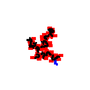 BOCC1OC(C)[C@@H](C)[C@@H](O)[C@@H]1OC1OC(CO)C(OC2OC(COC3OC(CO)C(O)[C@H](O)[C@H]3OC3OC(CO)C(OC4OC(COC5(C(=O)O)C[C@@H](O)[C@@H](N)C([C@@H](O)[C@H](O)CO)O5)C(O)[C@@H](O)[C@@H]4O)[C@H](O)[C@@H]3C)[C@@H](O)[C@H](OC(O)[C@@H](OC3OC(CO)C(OC4OC(COC(C[C@@H](O)CN)(OC(C)[C@@H](O)[C@H](O)CO)C(=O)O)C(O)[C@@H](O)[C@@H]4O)[C@H](O)[C@@H]3C)[C@H](O)C(O)CCO)[C@H]2O)[C@H](O)[C@@H]1C